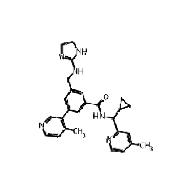 Cc1ccnc(C(NC(=O)c2cc(CNC3=NCCN3)cc(-c3cnccc3C)c2)C2CC2)c1